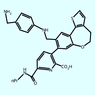 CCCNC(=O)c1ccc(-c2cc3c(cc2CNc2ccc(CN)cc2)-c2sccc2CCO3)c(C(=O)O)n1